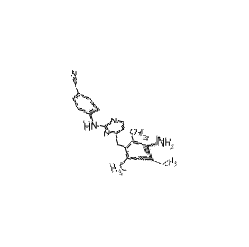 Cc1cc(C)c(Cc2ccnc(Nc3ccc(C#N)cc3)n2)c(C)c1N